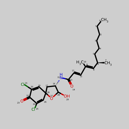 CCCCCC[C@@H](C)/C=C(C)/C=C/C(=O)N[C@H]1CC2(C=C(Cl)C(=O)C(Cl)=C2)OC1O